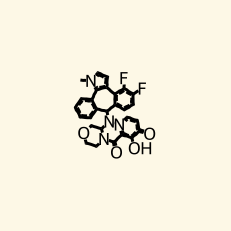 Cn1ccc2c1-c1ccccc1C(N1C3COCCN3C(=O)c3c(O)c(=O)ccn31)c1ccc(F)c(F)c1-2